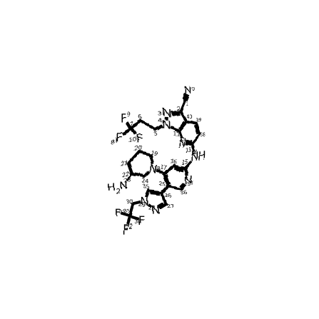 N#Cc1nn(CCC(F)(F)F)c2nc(Nc3cc(N4CCC[C@H](N)C4)c(-c4cnn(CC(F)(F)F)c4)cn3)ccc12